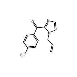 C=CCn1ccnc1C(=O)c1ccc(C(F)(F)F)cc1